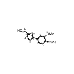 COc1ccc(-c2noc(C(=O)O)n2)cc1OC